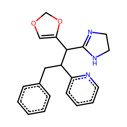 C1=C(C(C2=NCCN2)C(Cc2ccccc2)c2ccccn2)OCO1